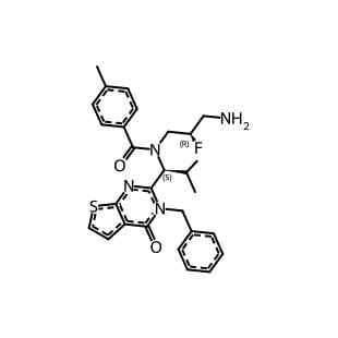 Cc1ccc(C(=O)N(C[C@H](F)CN)[C@H](c2nc3sccc3c(=O)n2Cc2ccccc2)C(C)C)cc1